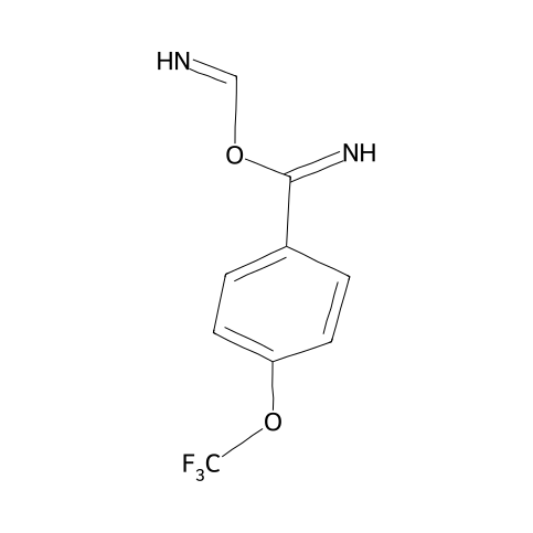 N=COC(=N)c1ccc(OC(F)(F)F)cc1